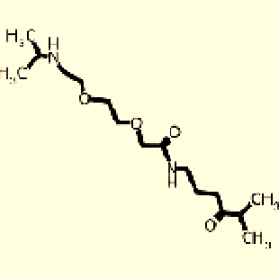 CC(C)NCCOCCOCC(=O)NCCCC(=O)C(C)C